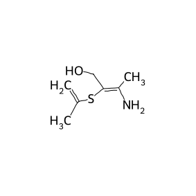 C=C(C)S/C(CO)=C(/C)N